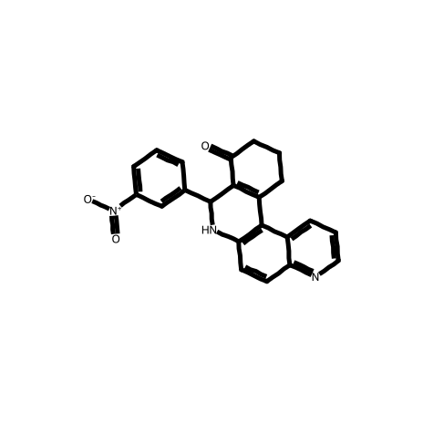 O=C1CCCC2=C1C(c1cccc([N+](=O)[O-])c1)Nc1ccc3ncccc3c12